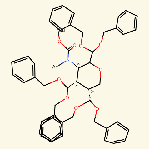 CC(=O)N(C(=O)OC(C)(C)C)[C@@H]1C(C(OCc2ccccc2)OCc2ccccc2)OC[C@H](C(OCc2ccccc2)OCc2ccccc2)[C@@H]1C(OCc1ccccc1)OCc1ccccc1